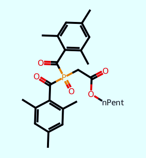 CCCCCOC(=O)CP(=O)(C(=O)c1c(C)cc(C)cc1C)C(=O)c1c(C)cc(C)cc1C